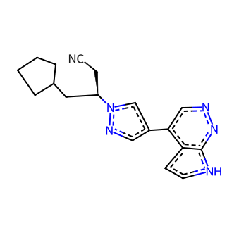 N#CC[C@H](CC1CCCC1)n1cc(-c2cnnc3[nH]ccc23)cn1